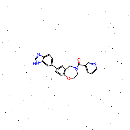 O=C(c1cccnc1)N1CCOc2ccc(-c3ccc4nc[nH]c4c3)cc2C1